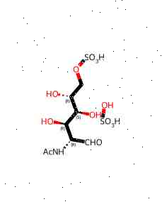 CC(=O)N[C@@H](C=O)[C@@H](O)[C@H](O)[C@H](O)COS(=O)(=O)O.O=S(=O)(O)O